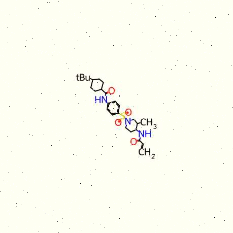 C=CC(=O)NC1CCN(S(=O)(=O)c2ccc(NC(=O)C3CCC(C(C)(C)C)CC3)cc2)CC1C